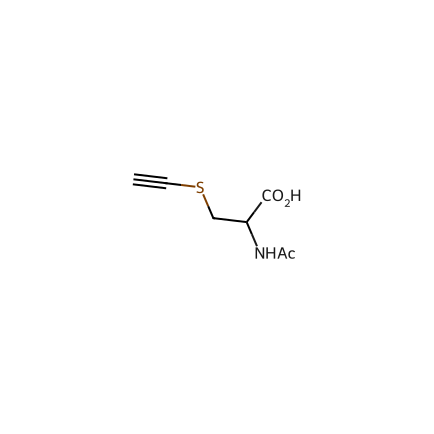 C#CSCC(NC(C)=O)C(=O)O